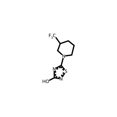 Oc1nsc(N2CCCC(C(F)(F)F)C2)n1